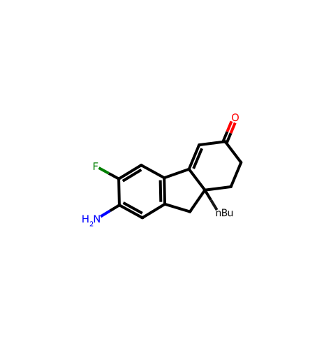 CCCCC12CCC(=O)C=C1c1cc(F)c(N)cc1C2